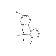 FC(F)(F)c1c(-c2ccc(Br)nc2)[c]ccc1Cl